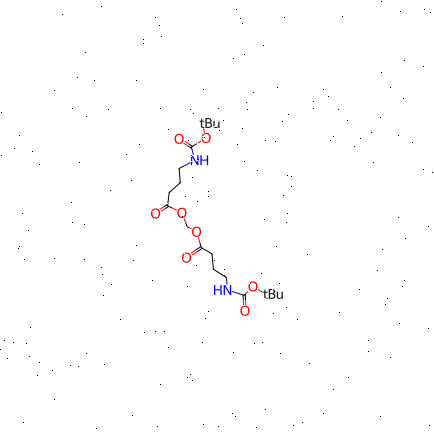 CC(C)(C)OC(=O)NCCCC(=O)OCOC(=O)CCCNC(=O)OC(C)(C)C